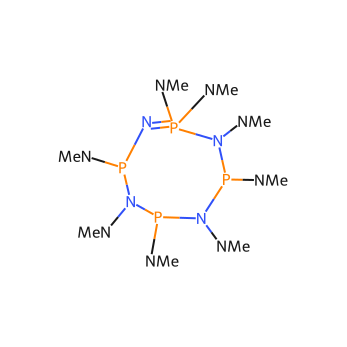 CNN1P(NC)N=P(NC)(NC)N(NC)P(NC)N(NC)P1NC